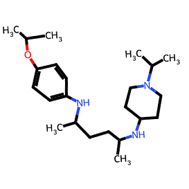 CC(CCC(C)NC1CCN(C(C)C)CC1)Nc1ccc(OC(C)C)cc1